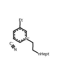 CCCCCCCCC[n+]1cccc(CC)c1.[C-]#N